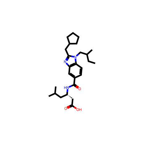 CCC(C)Cn1c(CC2CCCC2)nc2cc(C(=O)N[C@H](CC(=O)O)CC(C)C)ccc21